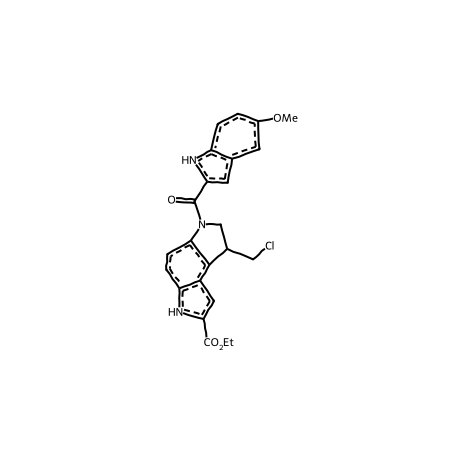 CCOC(=O)c1cc2c3c(ccc2[nH]1)N(C(=O)c1cc2cc(OC)ccc2[nH]1)CC3CCl